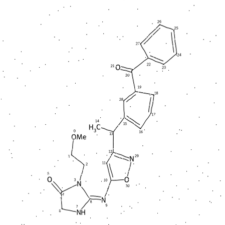 COCCN1C(=O)CNC1=Nc1cc(C(C)c2cccc(C(=O)c3ccccc3)c2)no1